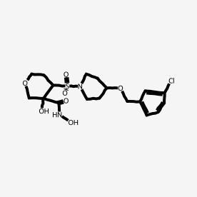 O=C(NO)C1(O)COCCC1S(=O)(=O)N1CCC(OCc2cccc(Cl)c2)CC1